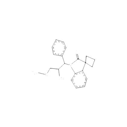 CNCC(O)C(c1ccccc1)N1C(=O)C2(CCC2)c2ccccc21